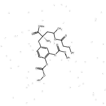 CCCOC(=O)Oc1ccc(C[C@](N)(CC(C)OC(=O)CCC(C)C)C(=O)OC)cc1OC(=O)OCCC